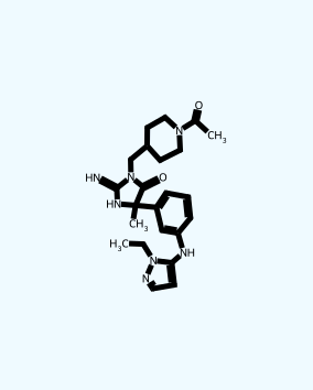 CCn1nccc1Nc1cccc(C2(C)NC(=N)N(CC3CCN(C(C)=O)CC3)C2=O)c1